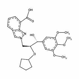 COc1cc([C@@H](O)[C@H](Cn2cc3cccc(C(=O)O)c3n2)OC2CCCC2)cc(OC)c1OC